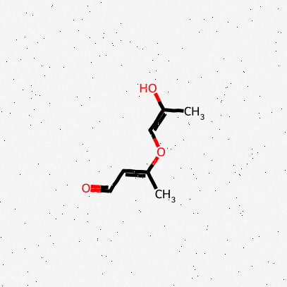 CC(=CC=O)O/C=C(\C)O